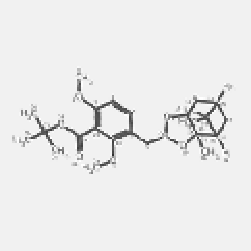 COc1ccc(CB2OC3C[C@@H]4C[C@@H](C4(C)C)[C@]3(C)O2)c(OC)c1C(=O)OC(C)(C)C